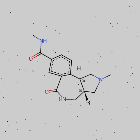 CNC(=O)c1ccc2c(c1)C(=O)NC[C@H]1CN(C)C[C@H]21